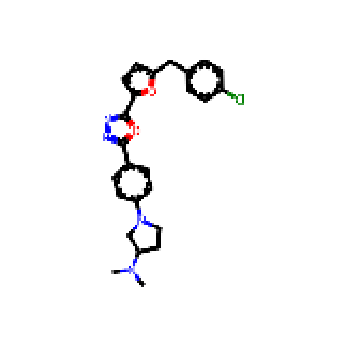 CN(C)C1CCN(c2ccc(-c3nnc(-c4ccc(Cc5ccc(Cl)cc5)o4)o3)cc2)C1